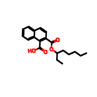 CCCCCC(CC)OC(=O)c1ccc2ccccc2c1C(=O)O